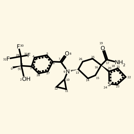 C[C@](O)(c1ccc(C(=O)N(C2CC2)[C@H]2CC[C@](C(N)=O)(c3cccs3)CC2)cc1)C(F)(F)F